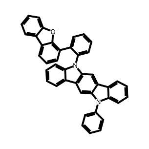 c1ccc(-n2c3ccccc3c3cc4c(cc32)c2ccccc2n4-c2ccccc2-c2cccc3c2oc2ccccc23)cc1